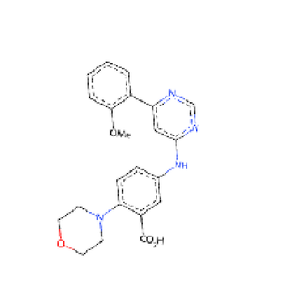 COc1ccccc1-c1cc(Nc2ccc(N3CCOCC3)c(C(=O)O)c2)ncn1